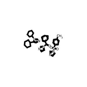 Cc1ccc(S(=O)(=O)n2ccnc2)cc1.O=C(c1ccccc1)n1ccnc1.c1ncn(C2CCCCC2)c1C1CCCCC1